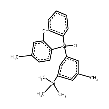 Cc1cc([Si](C)(C)C)cc([Si](Cl)(c2ccccc2)c2ccc(C)cc2C)c1